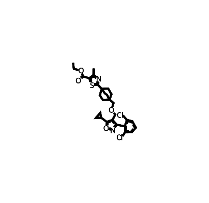 CCOC(=O)c1sc(C23CCC(COCc4c(-c5c(Cl)cccc5Cl)noc4C4CC4)(CC2)CC3)nc1C